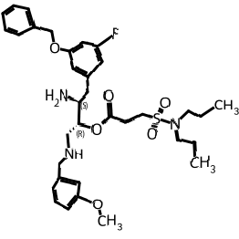 CCCN(CCC)S(=O)(=O)CCC(=O)O[C@H](CNCc1cccc(OC)c1)[C@@H](N)Cc1cc(F)cc(OCc2ccccc2)c1